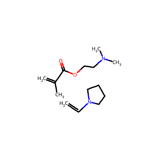 C=C(C)C(=O)OCCN(C)C.C=CN1CCCC1